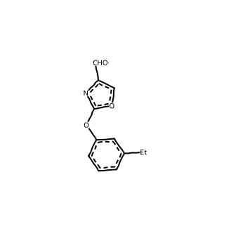 CCc1cccc(Oc2nc([C]=O)co2)c1